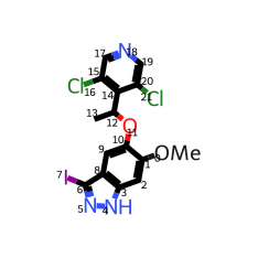 COc1cc2[nH]nc(I)c2cc1OC(C)c1c(Cl)cncc1Cl